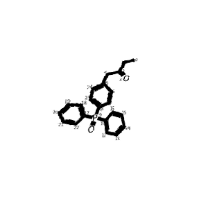 CCC(=O)Cc1ccc(P(=O)(c2ccccc2)c2ccccc2)cc1